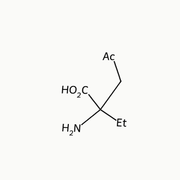 CCC(N)(CC(C)=O)C(=O)O